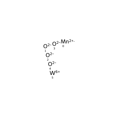 [Mn+2].[O-2].[O-2].[O-2].[O-2].[W+6]